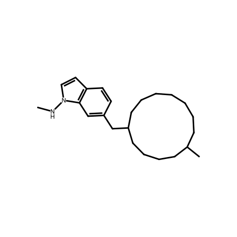 CNn1ccc2ccc(CC3CCCCCCCC(C)CCCC3)cc21